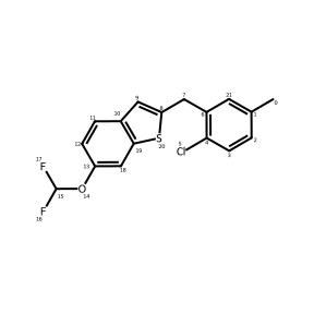 Cc1ccc(Cl)c(Cc2cc3ccc(OC(F)F)cc3s2)c1